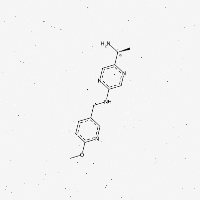 COc1ccc(CNc2cnc([C@H](C)N)cn2)cn1